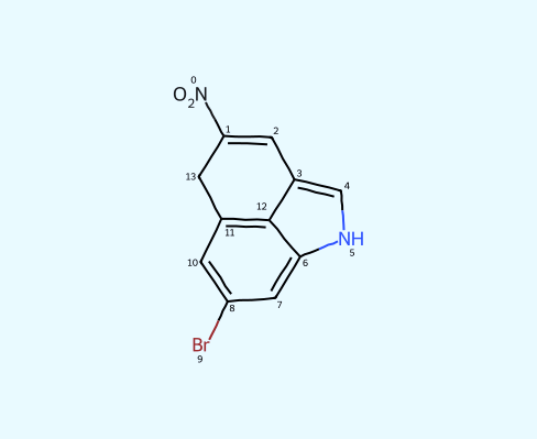 O=[N+]([O-])C1=Cc2c[nH]c3cc(Br)cc(c23)C1